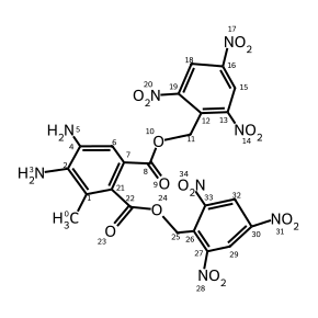 Cc1c(N)c(N)cc(C(=O)OCc2c([N+](=O)[O-])cc([N+](=O)[O-])cc2[N+](=O)[O-])c1C(=O)OCc1c([N+](=O)[O-])cc([N+](=O)[O-])cc1[N+](=O)[O-]